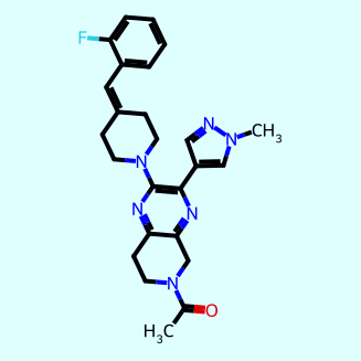 CC(=O)N1CCc2nc(N3CCC(=Cc4ccccc4F)CC3)c(-c3cnn(C)c3)nc2C1